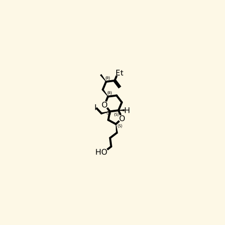 C=C(CC)[C@H](C)C[C@H]1CC[C@@H]2O[C@@H](CCCO)C[C@]2(CI)O1